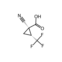 N#C[C@@]1(C(=O)O)C[C@H]1C(F)(F)F